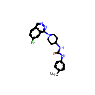 COc1ccc(NC(=S)NC2CCN(c3nncc4ccc(Br)cc34)CC2)cc1